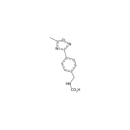 Cc1nc(-c2ccc(CNC(=O)O)cc2)no1